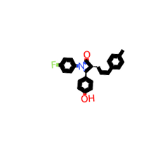 Cc1ccc(/C=C\C[C@H]2C(=O)N(c3ccc(F)cc3)[C@@H]2c2ccc(O)cc2)cc1